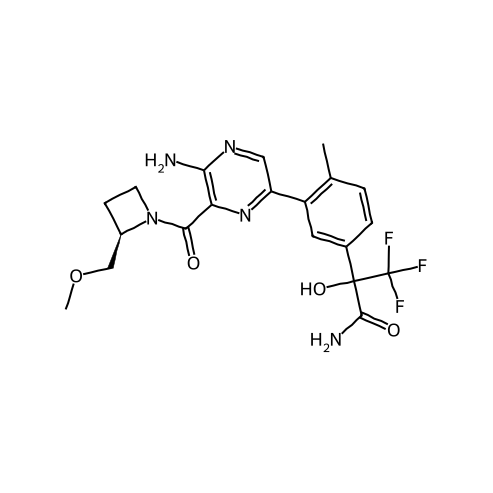 COC[C@H]1CCN1C(=O)c1nc(-c2cc(C(O)(C(N)=O)C(F)(F)F)ccc2C)cnc1N